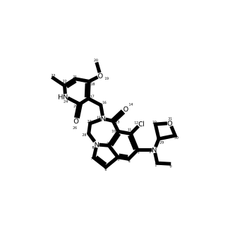 CCN(c1cc2ccn3c2c(c1Cl)C(=O)N(Cc1c(OC)cc(C)[nH]c1=O)CC3)C1COC1